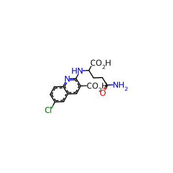 NC(=O)CCC(Nc1nc2ccc(Cl)cc2cc1C(=O)O)C(=O)O